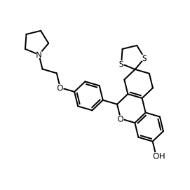 Oc1ccc2c(c1)OC(c1ccc(OCCN3CCCC3)cc1)C1=C2CCC2(C1)SCCS2